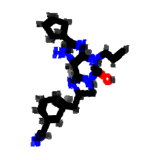 CCCN1C(=O)N2CC(Cc3cccc(C#N)c3)N=C2c2[nH]c(C3CCCC3)nc21